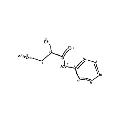 CCCCCCCCC(CC)C(=O)Nc1ccccc1